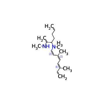 C=CCCC(C(=C)NC)N(C)\C=C/C(C)=C\C=C(/C)C=C